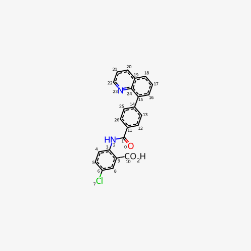 O=C(Nc1ccc(Cl)cc1C(=O)O)c1ccc(-c2cccc3cccnc23)cc1